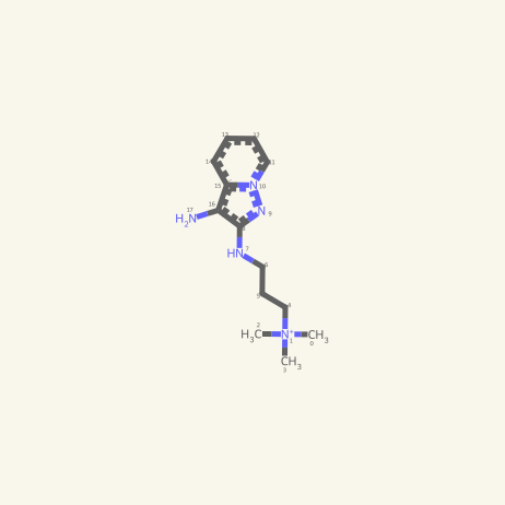 C[N+](C)(C)CCCNc1nn2ccccc2c1N